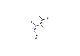 C=C/C=C(F)\C(C)=C(/C)F